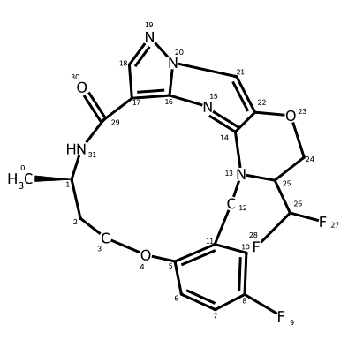 C[C@@H]1CCOc2ccc(F)cc2CN2c3nc4c(cnn4cc3OCC2C(F)F)C(=O)N1